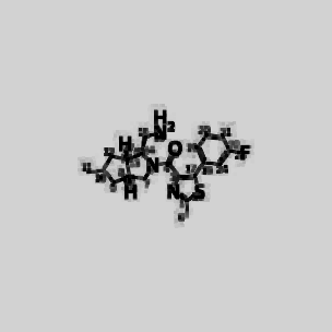 Cc1nc(C(=O)N2C[C@@H]3CC(C)C[C@@H]3[C@H]2CN)c(-c2cccc(F)c2)s1